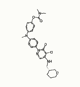 CN(C)C(=O)Oc1ccc(N(C)c2ccc(-n3ncc(NC[C@H]4CCCOC4)c(Cl)c3=O)cc2)cc1